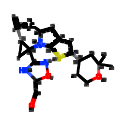 C#C[C@H]1C[C@]1(C1=NOC(=C=O)N1)n1c(C(=O)O)cc2cc([C@H]3CCOC(C)(C)C3)sc21